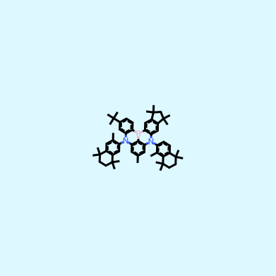 Cc1cc2c3c(c1)N(c1ccc4c(c1C)C(C)(C)CCC4(C)C)c1cc4c(cc1B3c1ccc(C(C)(C)C)cc1N2c1cc2c(cc1C)C(C)(C)CCC2(C)C)C(C)(C)CC4(C)C